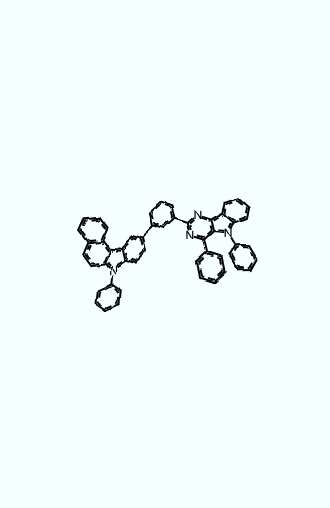 c1ccc(-c2nc(-c3cccc(-c4ccc5c(c4)c4c6ccccc6ccc4n5-c4ccccc4)c3)nc3c4ccccc4n(-c4ccccc4)c23)cc1